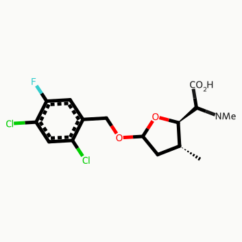 CNC(C(=O)O)[C@@H]1OC(OCc2cc(F)c(Cl)cc2Cl)C[C@H]1C